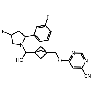 N#Cc1cc(OCC23CC(C(O)N4CC(F)CC4c4cccc(F)c4)(C2)C3)ncn1